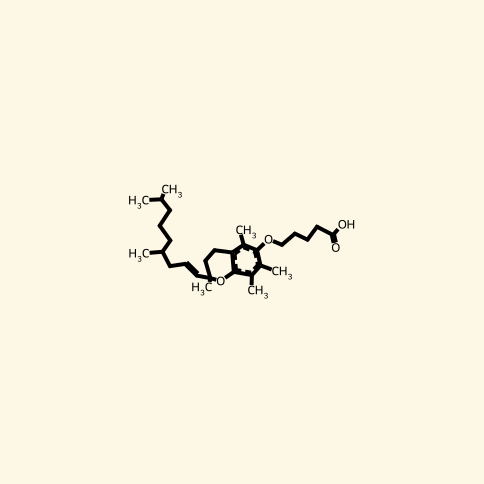 Cc1c(C)c2c(c(C)c1OCCCCC(=O)O)CCC(C)(C=CCC(C)CCCC(C)C)O2